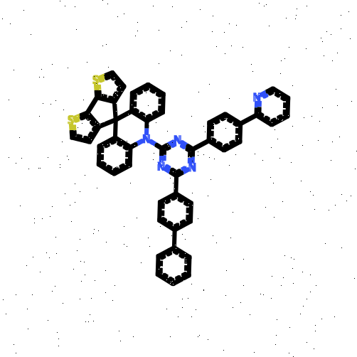 c1ccc(-c2ccc(-c3nc(-c4ccc(-c5ccccn5)cc4)nc(N4c5ccccc5C5(c6ccccc64)c4ccsc4-c4sccc45)n3)cc2)cc1